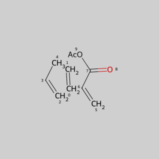 C=C.C=CC.C=CC(=O)OC(C)=O